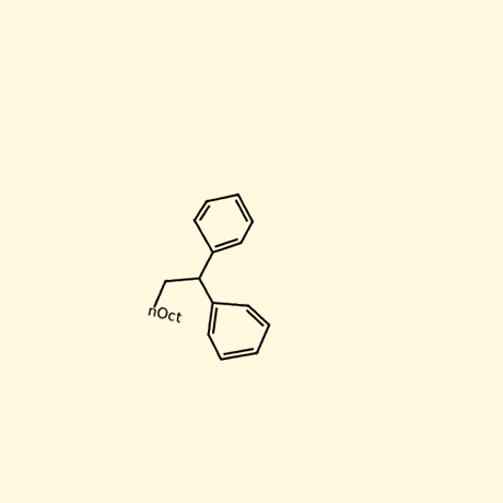 CCCCCCCCCC(c1ccccc1)c1ccccc1